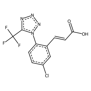 O=C(O)C=Cc1cc(Cl)ccc1-n1nnnc1C(F)(F)F